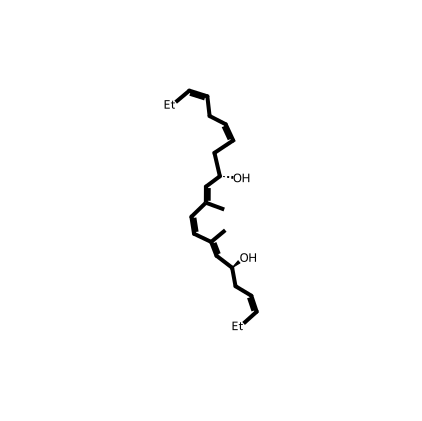 CC/C=C\C/C=C\C[C@H](O)/C=C(C)/C=C\C(C)=C\[C@@H](O)C/C=C\CC